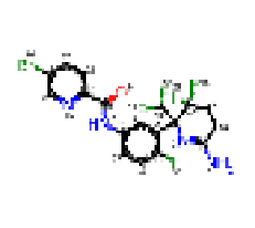 NC1=N[C@@](c2cc(NC(=O)c3ccc(Br)cn3)ccc2F)(C(F)F)C(F)(F)CC1